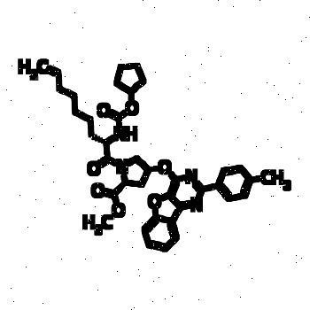 C=CCCCCC[C@H](NC(=O)OC1CCCC1)C(=O)N1C[C@H](Oc2nc(-c3ccc(C)cc3)nc3c2oc2ccccc23)C[C@H]1C(=O)OC